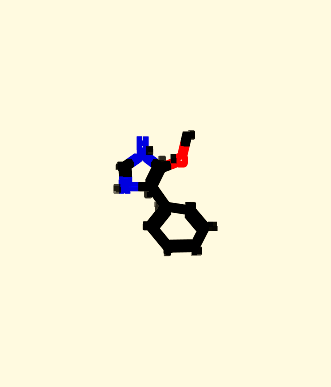 COc1[nH][c]nc1-c1ccccc1